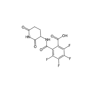 O=C1CCC(NC(=O)c2c(F)c(F)c(F)c(F)c2C(=O)O)C(=O)N1